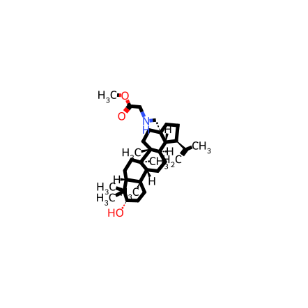 C=C(C)[C@@H]1CC[C@]2(CNCC(=O)OC)CC[C@]3(C)[C@H](CC[C@@H]4[C@@]5(C)CC[C@H](O)C(C)(C)[C@@H]5CC[C@]43C)[C@@H]12